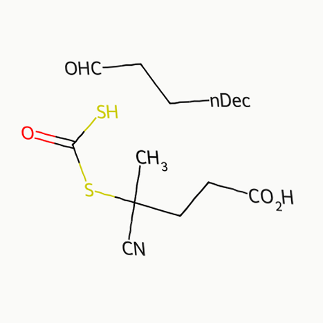 CC(C#N)(CCC(=O)O)SC(=O)S.CCCCCCCCCCCCC=O